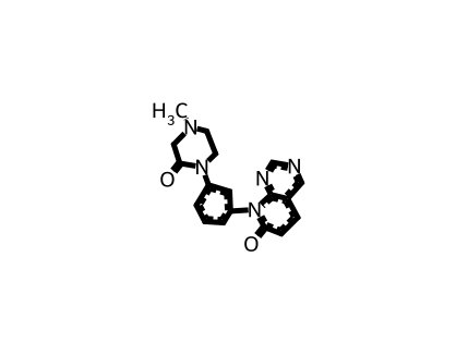 CN1CCN(c2cccc(-n3c(=O)ccc4cncnc43)c2)C(=O)C1